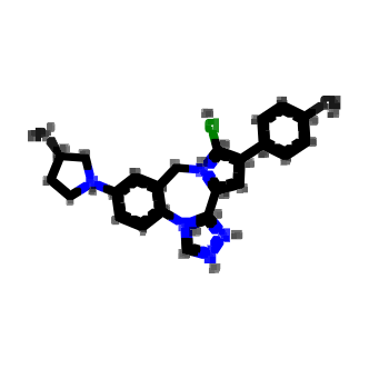 CCC[C@@H]1CCN(c2ccc3c(c2)Cn2c(cc(-c4ccc(C#N)cc4)c2Cl)-c2nncn2-3)C1